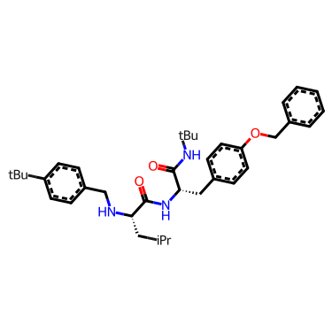 CC(C)C[C@H](NCc1ccc(C(C)(C)C)cc1)C(=O)N[C@@H](Cc1ccc(OCc2ccccc2)cc1)C(=O)NC(C)(C)C